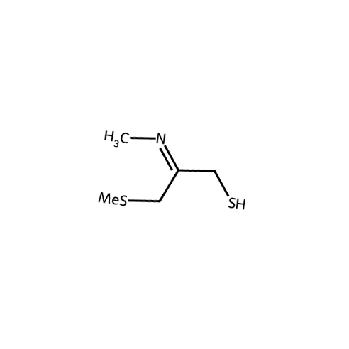 C/N=C(/CS)CSC